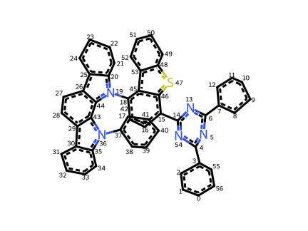 c1ccc(-c2nc(-c3ccccc3)nc(-c3ccc(-n4c5ccccc5c5ccc6c7ccccc7n(-c7ccccc7)c6c54)c4c3sc3ccccc34)n2)cc1